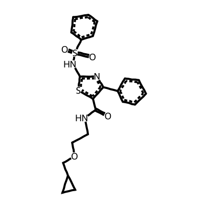 O=C(NCCOCC1CC1)c1sc(NS(=O)(=O)c2ccccc2)nc1-c1ccccc1